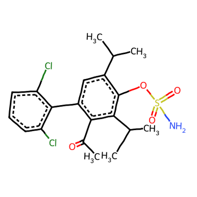 CC(=O)c1c(-c2c(Cl)cccc2Cl)cc(C(C)C)c(OS(N)(=O)=O)c1C(C)C